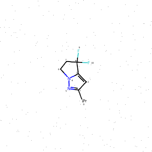 CC(C)c1cc2n(n1)CCC2(F)F